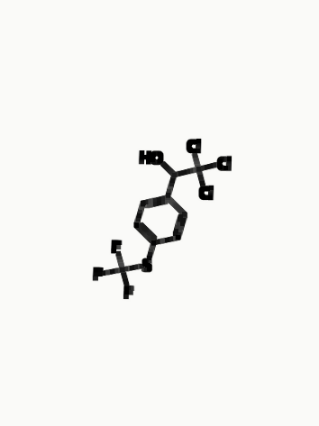 OC(c1ccc(SC(F)(F)F)cc1)C(Cl)(Cl)Cl